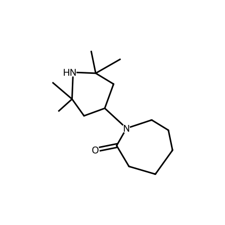 CC1(C)CC(N2CCCCCC2=O)CC(C)(C)N1